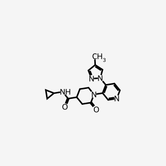 Cc1cnn(-c2ccncc2N2CCC(C(=O)NC3CC3)CC2=O)c1